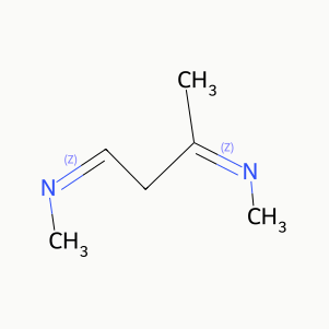 C/N=C\C/C(C)=N\C